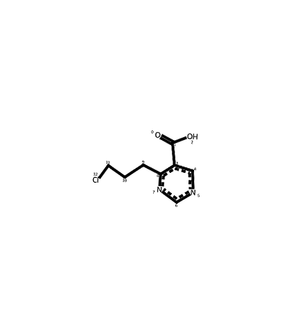 O=C(O)c1cncnc1CCCCl